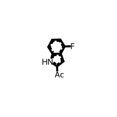 CC(=O)c1cc2c(F)cccc2[nH]1